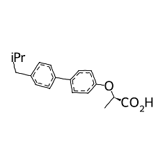 CC(C)Cc1ccc(-c2ccc(O[C@H](C)C(=O)O)cc2)cc1